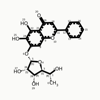 C[C@@H](O)[C@@H]1O[C@@H](Oc2cc3oc(-c4ccccc4)cc(=O)c3c(O)c2O)[C@@H](O)[C@H]1O